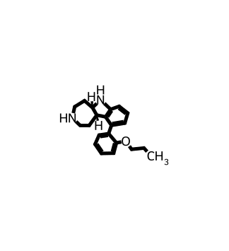 CCCOc1ccccc1-c1cccc2c1[C@@H]1CCNCC[C@@H]1N2